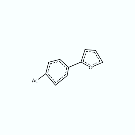 CC(=O)c1ccc(-c2ccco2)cc1